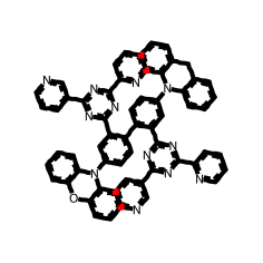 c1ccc(-c2nc(-c3cccnc3)nc(-c3cc(N4c5ccccc5Cc5ccccc54)ccc3-c3ccc(N4c5ccccc5Oc5ccccc54)cc3-c3nc(-c4cccnc4)nc(-c4ccccn4)n3)n2)nc1